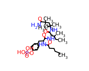 CCCCCC(=O)NC(Cc1ccc(OP(=O)(O)O)cc1)C(=O)N[C@H](C(=O)NC(C)(C)CC(C)(C)C(N)=O)C(C)CC